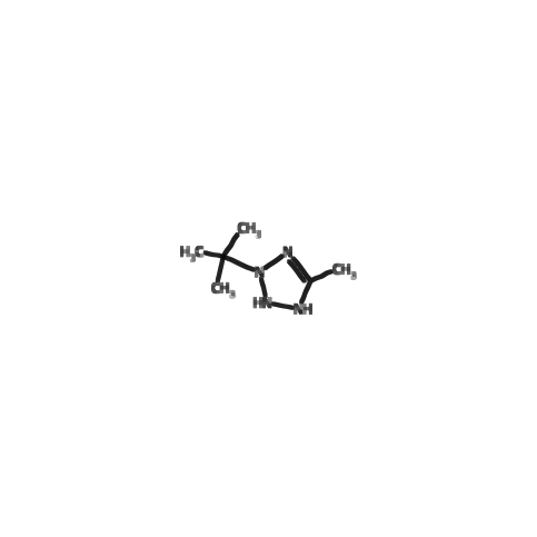 CC1=NN(C(C)(C)C)NN1